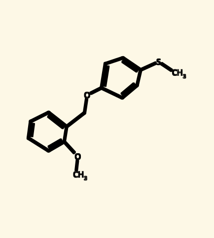 COc1ccccc1COc1ccc(SC)cc1